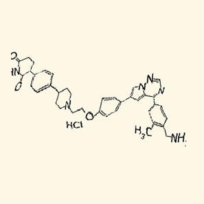 Cc1cc(-c2ncnn3cc(-c4ccc(OCCN5CCC(c6ccc(C7CCC(=O)NC7=O)cc6)CC5)cc4)cc23)ccc1CN.Cl